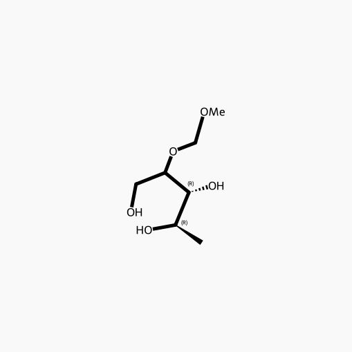 COCOC(CO)[C@H](O)[C@@H](C)O